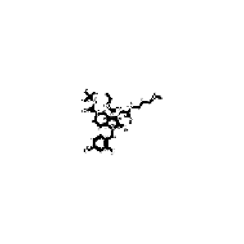 CCOC(=O)[C@@]12CN(C(=O)OC(C)(C)C)CC=C1N(Cc1ccc(Cl)cc1Cl)C(=O)[C@H]2CC(=O)NCCCOC